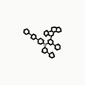 c1ccc(-c2ccc(-c3ccc(N(c4cccc(-c5ccccc5)c4)c4cc(-c5ccccc5)cc(-c5cc6c7ccccc7ccc6c6ccccc56)c4)cc3)cc2)cc1